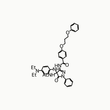 CCN(CC)c1ccc(NC2(NC(C)=O)C(=O)N(c3ccccc3)N=C2NC(=O)c2ccc(OCCCOc3ccccc3)cc2)cc1